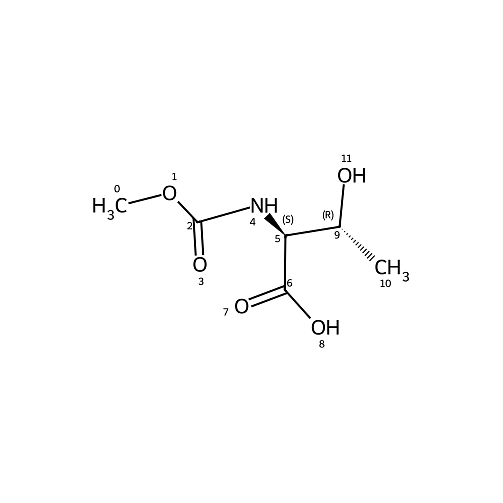 COC(=O)N[C@H](C(=O)O)[C@@H](C)O